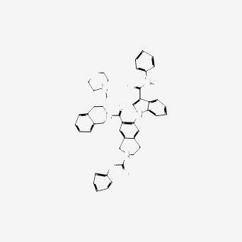 CN(C(=O)c1cn(-c2cc3c(cc2C(=O)N2Cc4ccccc4C[C@H]2CN2CCOCC2)CN(C(=O)Oc2ccccc2)CC3)c2ccccc12)c1ccccc1